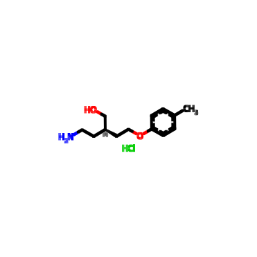 Cc1ccc(OCC[C@H](CO)CCN)cc1.Cl